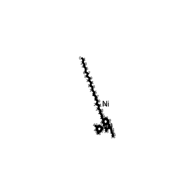 CCCCCCCCCCCCCCCCCCCCCCCCCCCc1ccc(N=C(CCCC)C(C)=Nc2cc(C)cc(C)c2)cc1.[Ni]